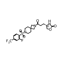 O=C1N[C@H](CCC(=O)N2CC3(CCN(S(=O)(=O)c4ccc(C(F)(F)F)cc4F)CC3)C2)CO1